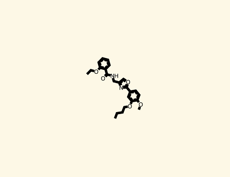 CCCCOc1cc(-c2nc(CNC(=O)c3ccccc3OCC)co2)ccc1OC